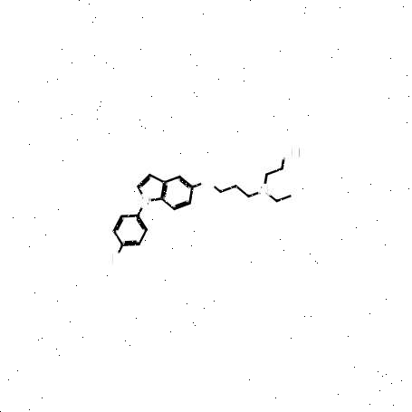 CCN(CCO)CCCOc1ccc2c(ccn2-c2ccc(F)cc2)c1